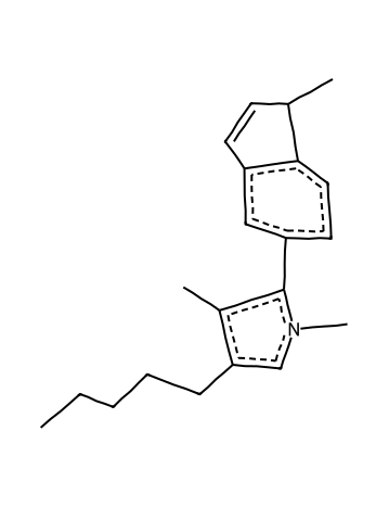 CCCCCc1cn(C)c(-c2ccc3c(c2)C=CC3C)c1C